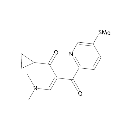 CSc1ccc(C(=O)C(=CN(C)C)C(=O)C2CC2)nc1